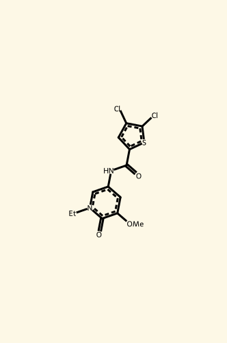 CCn1cc(NC(=O)c2cc(Cl)c(Cl)s2)cc(OC)c1=O